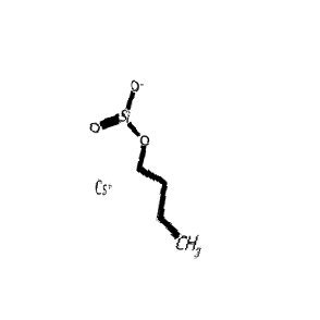 CCCCO[Si](=O)[O-].[Cs+]